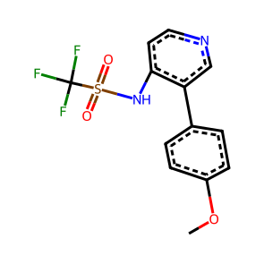 COc1ccc(-c2cnccc2NS(=O)(=O)C(F)(F)F)cc1